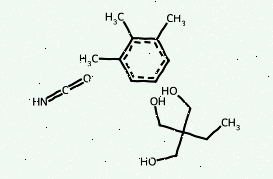 CCC(CO)(CO)CO.Cc1cccc(C)c1C.N=C=O